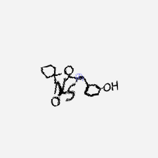 CC1(CN2C(=O)S/C(=C\c3cccc(O)c3)C2=O)CCCCC1